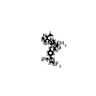 COc1ncnc(C2CC2)c1-c1ncc2c(n1)N(Cc1ccc(-c3nc(C(F)(F)F)cn3C(C)C)cc1)C1(CC1)C(=O)N2C